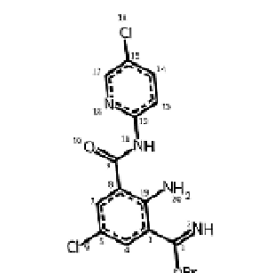 CCCC(=N)c1cc(Cl)cc(C(=O)Nc2ccc(Cl)cn2)c1N